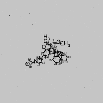 CO[C@@H]1C[C@@H]([C@H](C)Oc2cc(-c3ccn(C4COC4)n3)nc(-c3noc4c3CCC[C@@]43CCCCC3=O)n2)N(C)C1